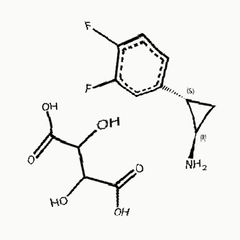 N[C@@H]1C[C@H]1c1ccc(F)c(F)c1.O=C(O)C(O)C(O)C(=O)O